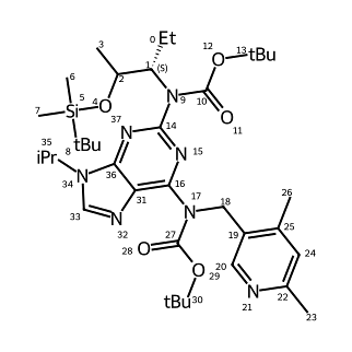 CC[C@@H](C(C)O[Si](C)(C)C(C)(C)C)N(C(=O)OC(C)(C)C)c1nc(N(Cc2cnc(C)cc2C)C(=O)OC(C)(C)C)c2ncn(C(C)C)c2n1